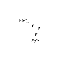 [F-].[F-].[F-].[F-].[Fe+2].[Fe+2]